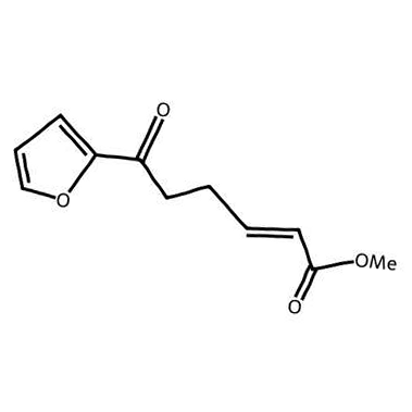 COC(=O)/C=C/CCC(=O)c1ccco1